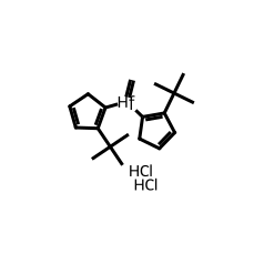 Cl.Cl.[CH2]=[Hf]([C]1=C(C(C)(C)C)C=CC1)[C]1=C(C(C)(C)C)C=CC1